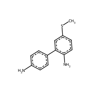 CSc1ccc(N)c(-c2ccc(N)cc2)c1